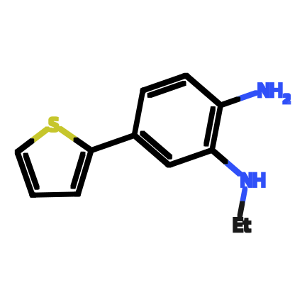 CCNc1cc(-c2cccs2)ccc1N